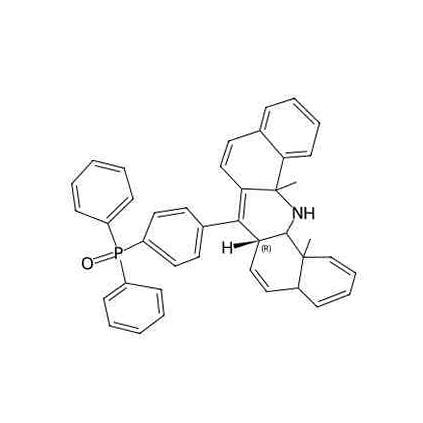 CC12NC3[C@H](C=CC4C=CC=CC43C)C(c3ccc(P(=O)(c4ccccc4)c4ccccc4)cc3)=C1C=Cc1ccccc12